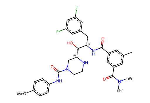 CCCN(CCC)C(=O)c1cc(C)cc(C(=O)N[C@@H](Cc2cc(F)cc(F)c2)C(O)[C@H]2CN(C(=O)Nc3ccc(OC)cc3)CCN2)c1